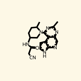 Cc1nc(N2CC(NC(=O)CC#N)CCC2C)c2c(cnc3[nH]ccc32)n1